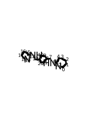 C1=CC=CC=C(NCc2ccc(CNc3ccccn3)cc2)N=1